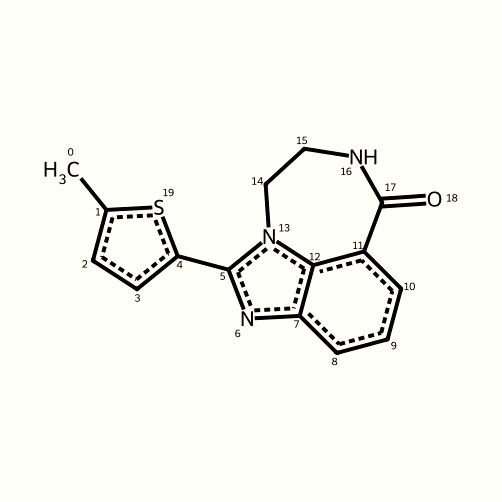 Cc1ccc(-c2nc3cccc4c3n2CCNC4=O)s1